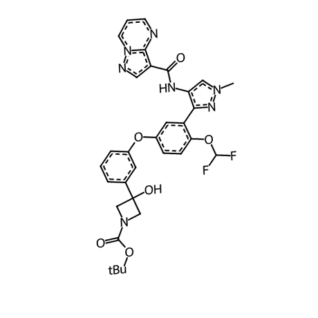 Cn1cc(NC(=O)c2cnn3cccnc23)c(-c2cc(Oc3cccc(C4(O)CN(C(=O)OC(C)(C)C)C4)c3)ccc2OC(F)F)n1